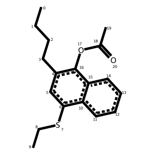 CCCCc1cc(SCC)c2ccccc2c1OC(C)=O